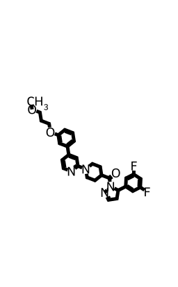 COCCCOc1cccc(-c2ccnc(N3CCC(C(=O)N4N=CCC4c4cc(F)cc(F)c4)CC3)c2)c1